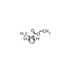 CCOC(=O)[C@@H]1[C@H]2CC[C@H](C2)[C@@H]1C